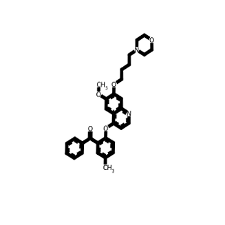 COc1cc2c(Oc3ccc(C)cc3C(=O)c3ccccc3)ccnc2cc1OCCCCN1CCOCC1